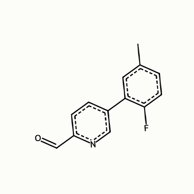 Cc1ccc(F)c(-c2ccc(C=O)nc2)c1